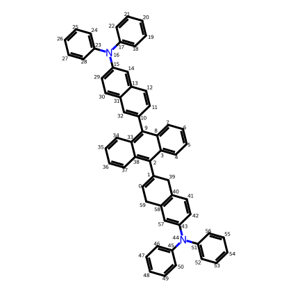 C1=C(c2c3ccccc3c(-c3ccc4cc(N(c5ccccc5)c5ccccc5)ccc4c3)c3ccccc23)Cc2ccc(N(c3ccccc3)c3ccccc3)cc2C1